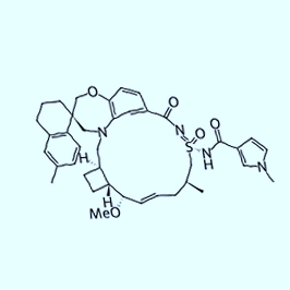 CO[C@H]1/C=C/C[C@H](C)C[S@@](=O)(NC(=O)c2ccn(C)c2)=NC(=O)c2ccc3c(c2)N(C[C@@H]2CC[C@H]21)C[C@@]1(CCCc2cc(C)ccc21)CO3